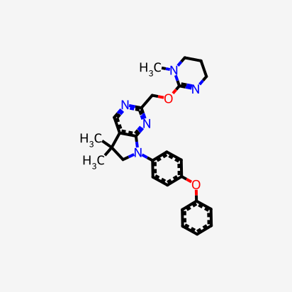 CN1CCCN=C1OCc1ncc2c(n1)N(c1ccc(Oc3ccccc3)cc1)CC2(C)C